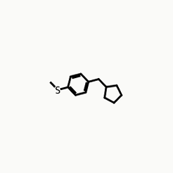 CSc1ccc(CC2CCCC2)cc1